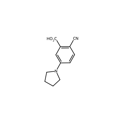 N#Cc1ccc(N2CCCC2)cc1C(=O)O